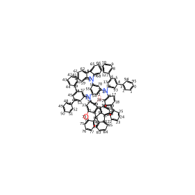 c1ccc(-c2cc(-c3ccccc3)cc(N3c4ccc(-c5ccccc5)cc4B4c5cc6c(cc5N(c5cc(-c7ccccc7)cc(-c7ccccc7)c5)c5cc(-n7c8ccccc8c8ccccc87)cc3c54)Oc3ccccc3C63c4ccccc4-c4ccccc43)c2)cc1